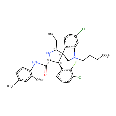 COc1cc(C(=O)O)ccc1NC(=O)[C@@H]1N[C@@H](CC(C)(C)C)[C@@]2(CN(CCCC(=O)O)c3cc(Cl)ccc32)[C@H]1c1cccc(Cl)c1F